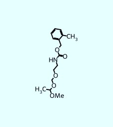 COC(C)OCOCCNC(=O)OCc1ccccc1C